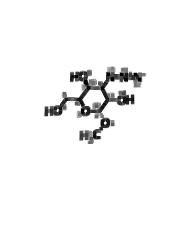 CO[C@@H]1OC(CO)[C@@H](O)C(N=[N+]=[N-])C1O